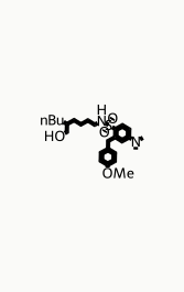 CCCCC(CO)CCCCNS(=O)(=O)c1ccc(N(C)C)cc1Cc1ccc(OC)cc1